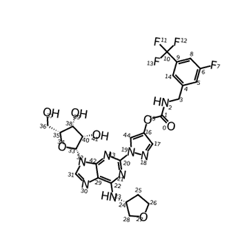 O=C(NCc1cc(F)cc(C(F)(F)F)c1)Oc1cnn(-c2nc(N[C@@H]3CCOC3)c3ncn([C@@H]4O[C@H](CO)[C@H](O)[C@@H]4O)c3n2)c1